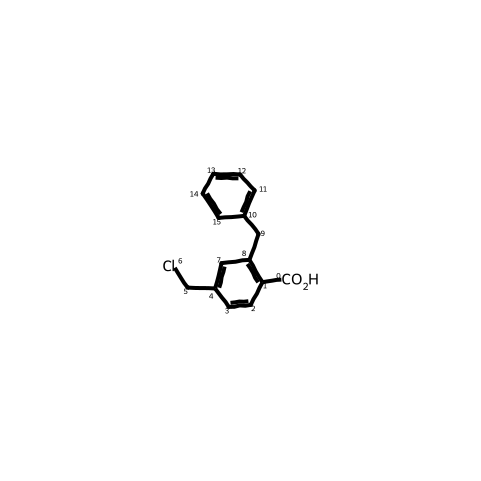 O=C(O)c1ccc(CCl)cc1Cc1ccccc1